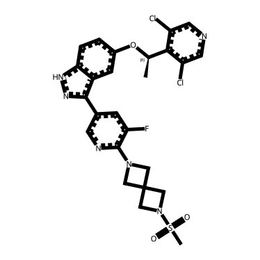 C[C@@H](Oc1ccc2[nH]nc(-c3cnc(N4CC5(C4)CN(S(C)(=O)=O)C5)c(F)c3)c2c1)c1c(Cl)cncc1Cl